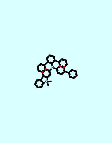 C[Si]1(C)c2ccccc2-c2ccc(N(c3ccc(-c4ccccc4)cc3)c3c(-c4ccccc4)cccc3-c3ccccc3)cc21